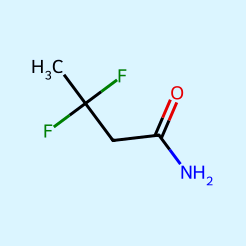 CC(F)(F)CC(N)=O